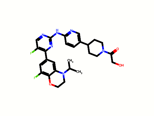 CC(C)N1CCOc2c(F)cc(-c3nc(Nc4ccc(C5CCN(C(=O)CO)CC5)cn4)ncc3F)cc21